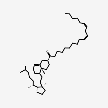 CCCCC/C=C\C/C=C\CCCCCCCCC(=O)[C@H]1CC[C@@]2(C)C(=CCCC2CC[C@@]2(C)CCC[C@@H]2[C@H](C)CCCC(C)C)C1